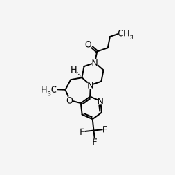 CCCC(=O)N1CCN2c3ncc(C(F)(F)F)cc3OC(C)C[C@H]2C1